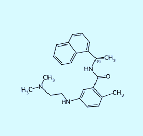 Cc1ccc(NCCN(C)C)cc1C(=O)N[C@H](C)c1cccc2ccccc12